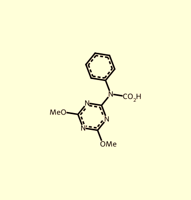 COc1nc(OC)nc(N(C(=O)O)c2ccccc2)n1